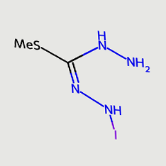 CSC(=NNI)NN